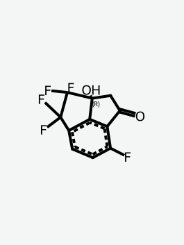 O=C1C[C@@]2(O)c3c(ccc(F)c31)C(F)(F)C2(F)F